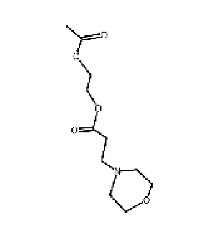 CC(=O)OCCOC(=O)CCN1CCOCC1